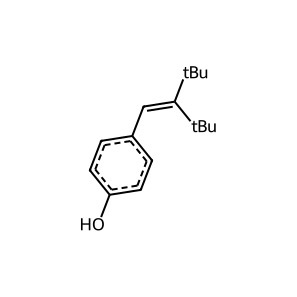 CC(C)(C)C(=Cc1ccc(O)cc1)C(C)(C)C